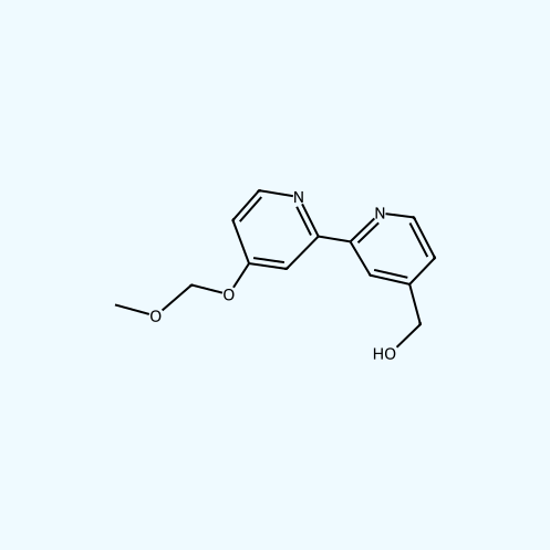 COCOc1ccnc(-c2cc(CO)ccn2)c1